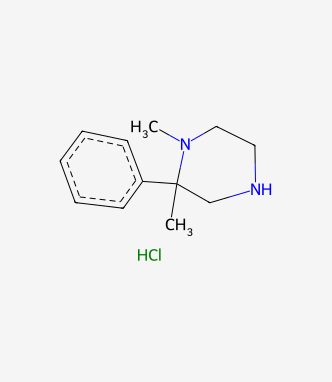 CN1CCNCC1(C)c1ccccc1.Cl